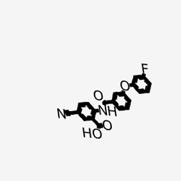 N#Cc1ccc(NC(=O)c2cccc(Oc3cccc(F)c3)c2)c(C(=O)O)c1